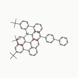 CC(C)(C)c1cc(-c2cccc3cccc(-c4ccccc4N(c4ccc(-c5ccc(-c6ccccc6)cc5)cc4)c4cc(C(C)(C)C)ccc4-c4ccccc4)c23)cc(C(C)(C)C)c1